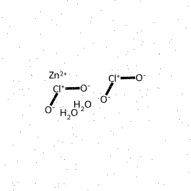 O.O.[O-][Cl+][O-].[O-][Cl+][O-].[Zn+2]